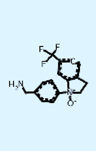 NCc1ccc([N+]2([O-])CCc3ccc(C(F)(F)F)cc32)cc1